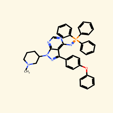 CN1CCCC(n2nc(-c3ccc(Oc4ccccc4)cc3)c3c(N=P(c4ccccc4)(c4ccccc4)c4ccccc4)ncnc32)C1